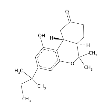 CCC(C)(C)c1cc(O)c2c(c1)OC(C)(C)[C@@H]1CCC(=O)C[C@@H]21